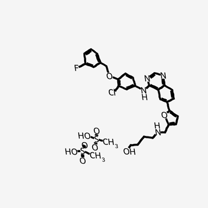 CS(=O)(=O)O.CS(=O)(=O)O.OCCCCNCc1ccc(-c2ccc3ncnc(Nc4ccc(OCc5cccc(F)c5)c(Cl)c4)c3c2)o1